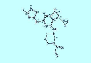 C=CC(=O)N1CCCC(Nc2nc(Nc3cc(C)ns3)nc3[nH]cc(C4CC4)c23)C1